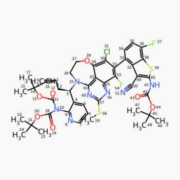 C=CC[C@H](c1cccnc1N(C(=O)OC(C)(C)C)C(=O)OC(C)(C)C)N1CCOc2c(Cl)c(-c3ccc(F)c4sc(NC(=O)OC(C)(C)C)c(C#N)c34)c(F)c3nc(SC)nc1c23